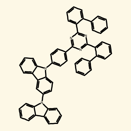 c1ccc(-c2ccccc2-c2nc(-c3ccc(-n4c5ccccc5c5cc(-n6c7ccccc7c7ccccc76)ccc54)cc3)nc(-c3ccccc3-c3ccccc3)n2)cc1